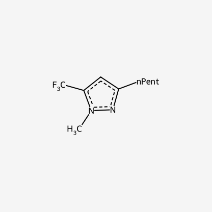 CCCCCc1cc(C(F)(F)F)n(C)n1